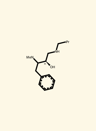 CNC(Cc1ccccc1)[C@H](O)CNCC(C)C